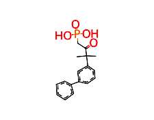 CC(C)(C(=O)CP(=O)(O)O)c1cccc(-c2ccccc2)c1